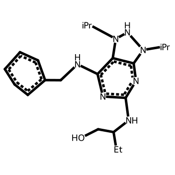 CCC(CO)Nc1nc(NCc2ccccc2)c2c(n1)N(C(C)C)NN2C(C)C